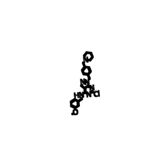 COc1cccc(CNc2nc(Cl)nc3c2cnn3Cc2ccc(CN3CCCCC3)cc2)c1